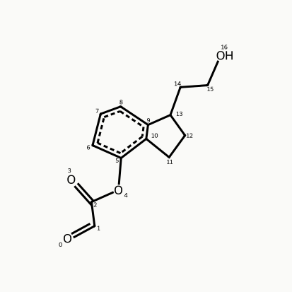 O=CC(=O)Oc1cccc2c1CCC2CCO